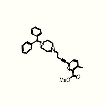 COC(=O)c1nc(C#CCCN2CCN(C(c3ccccc3)c3ccccc3)CC2)ccc1C